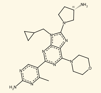 Cc1nc(N)ncc1-c1nc(N2CCOCC2)c2nc(N3CC[C@H](N)C3)n(CC3CC3)c2n1